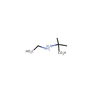 CC(C)(N)C(=O)O.NCC(=O)O